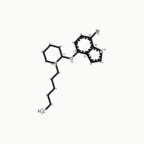 CCCCCCN1CCCCC1Oc1ccc(Br)c2sccc12